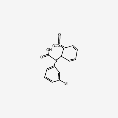 O=C(O)N(c1cccc(Br)c1)C1C=CC=CC1=S(=O)=O